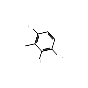 Cc1c(O)ccc(C#N)c1Cl